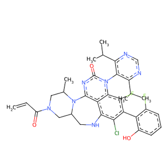 C=CC(=O)N1CC(C)N2c3nc(=O)n(-c4c(C(C)C)ncnc4C(C)C)c4c(F)c(-c5c(O)cccc5F)c(Cl)c(c34)NCC2C1